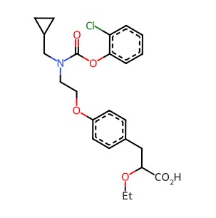 CCOC(Cc1ccc(OCCN(CC2CC2)C(=O)Oc2ccccc2Cl)cc1)C(=O)O